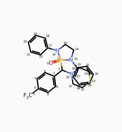 O=P1(C(c2ccc(C(F)(F)F)cc2)N2CCSCC2)N(c2ccccc2)CCN1c1ccccc1